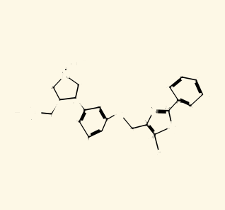 CCOC(=O)N1C[C@H](CC(=O)O)[C@H](c2cccc(OCc3nc(-c4ccccc4)oc3C)c2)C1